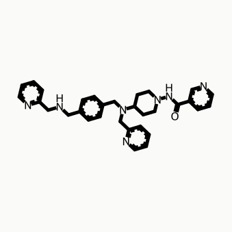 O=C(NN1CCC(N(Cc2ccc(CNCc3ccccn3)cc2)Cc2ccccn2)CC1)c1cccnc1